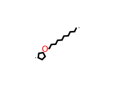 [CH2]CCCCCCCCCOC1C[CH]CC1